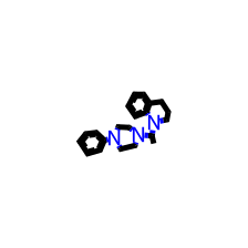 CC(N1CCN(c2ccccc2)CC1)N1CCCc2ccccc21